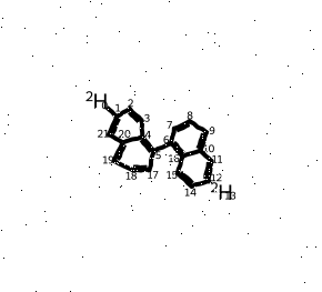 [2H]c1ccc2c(-c3cccc4cc([2H])ccc34)cccc2c1